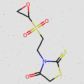 O=C1CSC(=S)N1CCS(=O)(=O)C1CO1